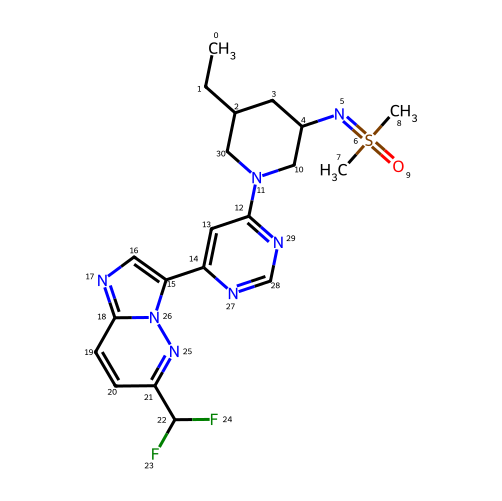 CCC1CC(N=S(C)(C)=O)CN(c2cc(-c3cnc4ccc(C(F)F)nn34)ncn2)C1